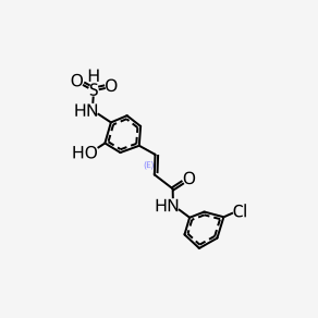 O=C(/C=C/c1ccc(N[SH](=O)=O)c(O)c1)Nc1cccc(Cl)c1